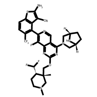 CN1CC[C@H](C(F)F)[C@](C)(COc2nc(N3C[C@H]4CC[C@@H](C3)N4)c3cnc(-c4c(C(F)(F)F)ccc5sc(N)c(C#N)c45)c(F)c3n2)C1